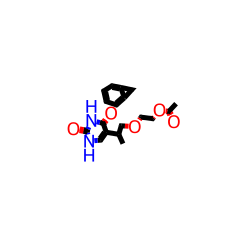 CC(=O)OCCOCC(C)c1c[nH]c(=O)[nH]c1=O.c1ccc2c(c1)C2